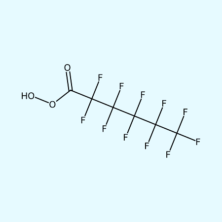 O=C(OO)C(F)(F)C(F)(F)C(F)(F)C(F)(F)C(F)(F)F